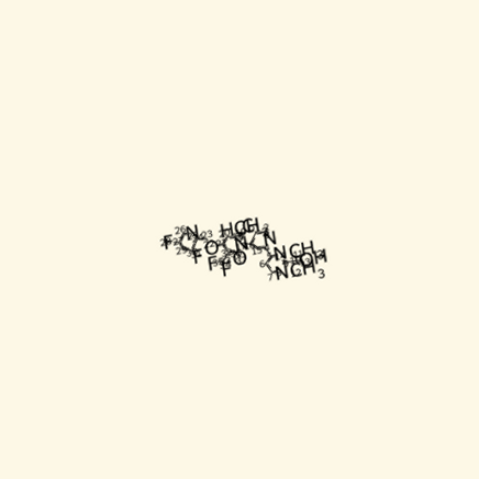 Cc1cnc(-c2ccnc(C(C)(C)O)n2)cc1-n1c(C)cc(OCc2ncc(F)cc2F)c(C(F)F)c1=O